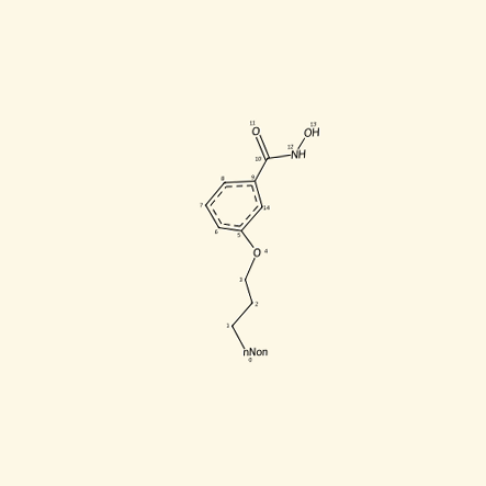 CCCCCCCCCCCCOc1cccc(C(=O)NO)c1